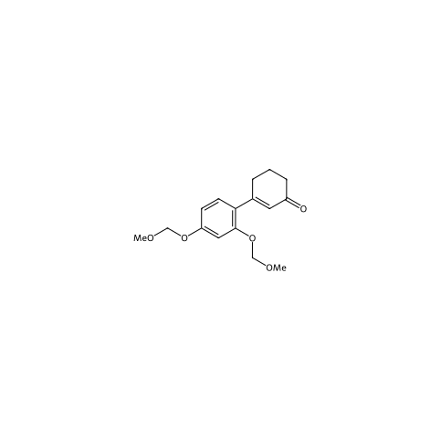 COCOc1ccc(C2=CC(=O)CCC2)c(OCOC)c1